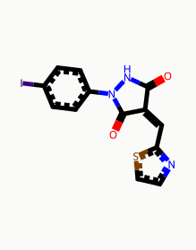 O=C1NN(c2ccc(I)cc2)C(=O)C1=Cc1nccs1